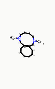 CN1CCCCN(C)C/C2=C(/CCCCCC2)C1